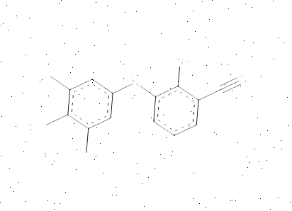 Cc1cc(Nc2cccc(C#N)c2N)cc(C)c1C